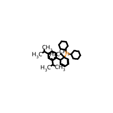 CC(C)c1ccc(C2C=CC=CC2(C(C)C)P(C2CCCCC2)C2CCCCC2)c(C(C)C)c1